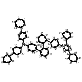 c1ccc(-c2ccc(N(c3ccc(-c4ccccc4)cc3)c3ccc(-c4ccccc4-c4ccccc4-c4ccc(-n5nc(-c6ccccc6)nc5-c5ccccc5)cc4)cc3)cc2)cc1